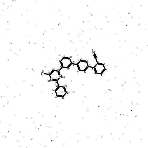 N#Cc1ccccc1-c1ccc(-c2cccc(-c3cc(Cl)nc(-c4ccccc4)n3)c2)cc1